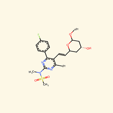 CCCOC1C[C@H](O)CC(/C=C/c2c(-c3ccc(F)cc3)nc(N(C)S(C)(=O)=O)nc2C(C)C)O1